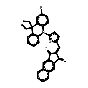 CCC1(CC)c2ccccc2N(c2ccc(C=C3C(=O)c4cc5ccccc5cc4C3=O)s2)c2ccc(F)cc21